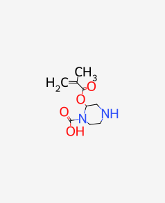 C=C(C)C(=O)OC1CNCCN1C(=O)O